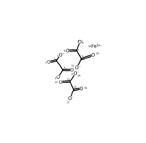 O=C([O-])C(=O)[O-].O=C([O-])C(=O)[O-].O=C([O-])C(=O)[O-].[Fe+3]